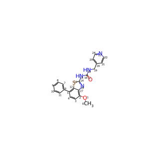 COc1ccc(-c2ccccc2)c2sc(NC(=O)NCc3ccncc3)nc12